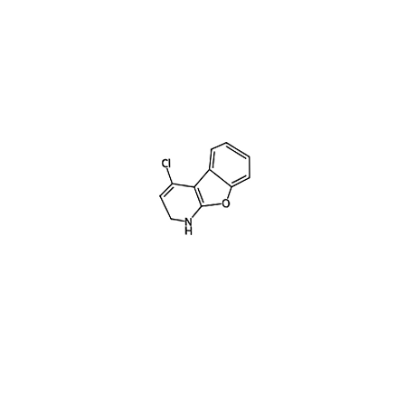 ClC1=CCNc2oc3ccccc3c21